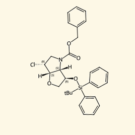 CC(C)(C)[Si](O[C@H]1CO[C@H]2[C@@H]1N(C(=O)OCc1ccccc1)C[C@H]2Cl)(c1ccccc1)c1ccccc1